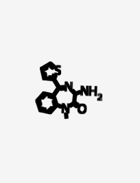 CN1C(=O)C(N)N=C(c2cccs2)c2ccccc21